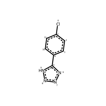 Clc1ccc(-c2nnn[nH]2)cc1